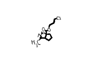 CC1=NOC2(C(=O)OCCCCl)CCCC12